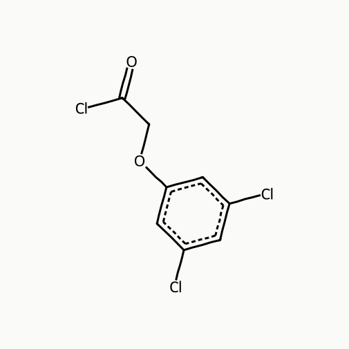 O=C(Cl)COc1cc(Cl)cc(Cl)c1